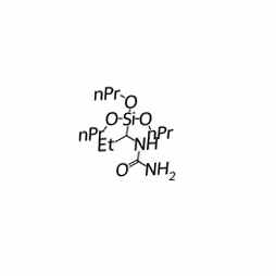 CCCO[Si](OCCC)(OCCC)C(CC)NC(N)=O